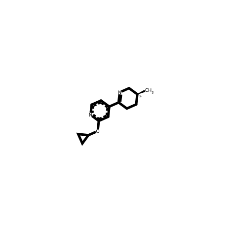 C[C@H]1CCC(c2ccnc(OC3CC3)c2)=NC1